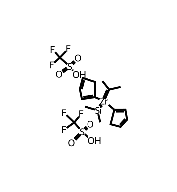 C[C](C)=[Zr]([C]1=CC=CC1)([C]1=CC=CC1)=[Si](C)C.O=S(=O)(O)C(F)(F)F.O=S(=O)(O)C(F)(F)F